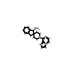 N[C@@H]1c2ccccc2CC12CCN(c1nccn3ccnc13)CC2